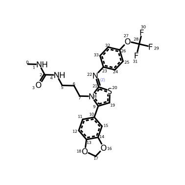 CNC(=O)NCCCn1c(-c2ccc3c(c2)OCO3)cs/c1=N\c1ccc(OC(F)(F)F)cc1